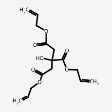 C=CCOC(=O)CC(O)(CC(=O)OCC=C)C(=O)OCC=C